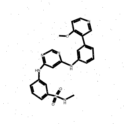 CNS(=O)(=O)c1cccc(Nc2cc(Nc3cccc(-c4cnccc4OC)c3)ncn2)c1